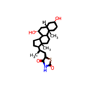 CC(CC1SC(=O)NC1=O)C1CCC2C3C(CC[C@]12C)[C@@]1(C)CC[C@@H](O)C[C@H]1C[C@H]3O